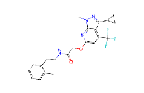 Cc1ccccc1CCNC(=O)COc1cc(C(F)(F)F)c2c(C3CC3)nn(C)c2n1